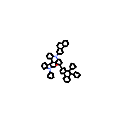 c1ccc(-c2c(-c3ccccc3)c3cc(-c4ccc(N(c5ccc6c(ccc7ccccc76)c5)c5ccccc5-c5cccc6c5c5ccccc5n6-c5ccccc5)cc4)ccc3c3ccccc23)cc1